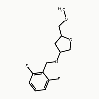 COCC1CC(OCc2c(F)cccc2F)CO1